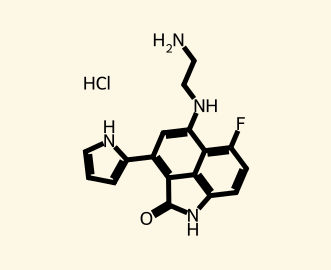 Cl.NCCNc1cc(-c2ccc[nH]2)c2c3c(ccc(F)c13)NC2=O